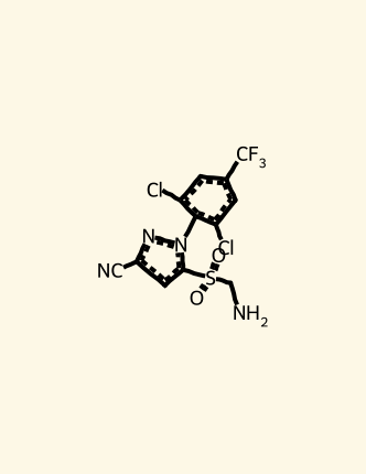 N#Cc1cc(S(=O)(=O)CN)n(-c2c(Cl)cc(C(F)(F)F)cc2Cl)n1